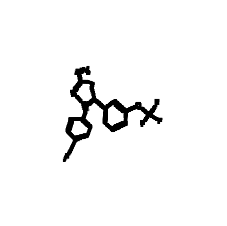 NC1=NN(c2ccc(F)cc2)C(c2cccc(OC(F)(F)F)c2)C1